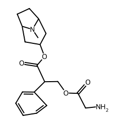 CN1C2CCC1CC(OC(=O)C(COC(=O)CN)c1ccccc1)C2